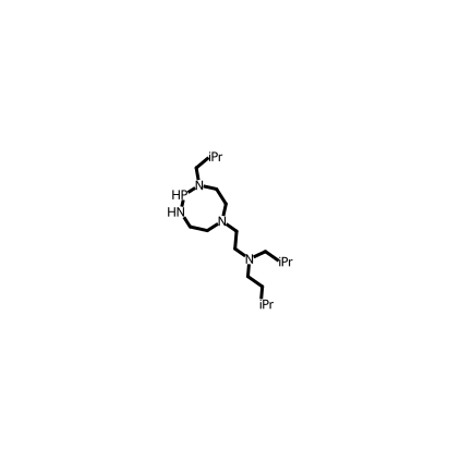 CC(C)CCN(CCN1CCNPN(CC(C)C)CC1)CC(C)C